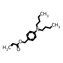 C=CC(=O)OCc1ccc(N(CCCC)CCCC)cc1